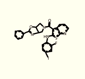 O=C(c1c(Nc2ccc(I)cc2F)sc2ncccc12)N1CC2N=C(c3ccccc3)OC2C1